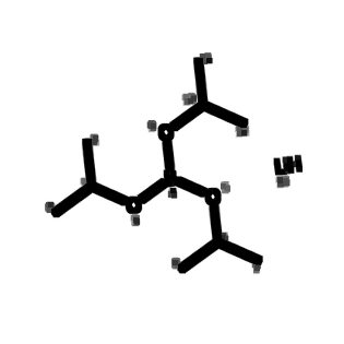 CC(C)OB(OC(C)C)OC(C)C.[LiH]